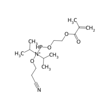 C=C(C)C(=O)OCCOP[N+](OCCC#N)(C(C)C)C(C)C